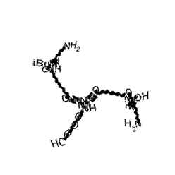 C#CCOCCOCCOCCNc1nc(N2CCN(C(=O)CCCCCCCCCCNC(=O)[C@H]([C@@H](C)CC)n3cc(CCCCCN)nn3)CC2)nc(N2CCN(C(=O)CCCCCCCCCCNC(=O)[C@H](CO)n3cc(CCCCCN)nn3)CC2)n1